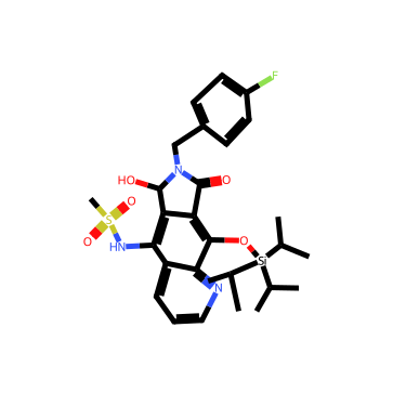 CC(C)[Si](Oc1c2c(c(NS(C)(=O)=O)c3cccnc13)C(O)N(Cc1ccc(F)cc1)C2=O)(C(C)C)C(C)C